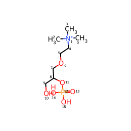 C[N+](C)(C)CCOCC(CO)OP(=O)(O)O